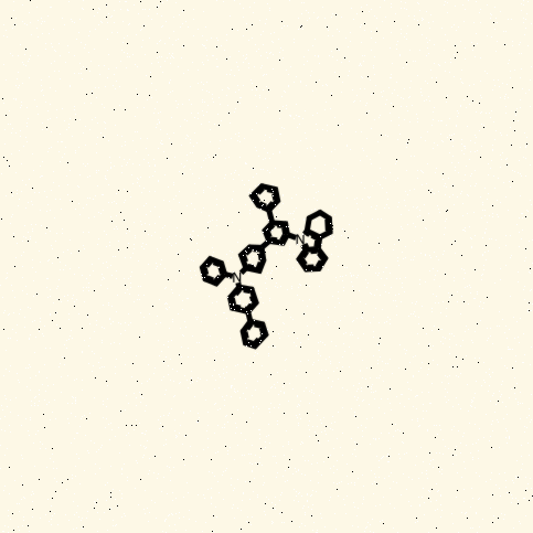 C1=Cc2c(n(-c3cc(-c4ccccc4)cc(-c4ccc(N(c5ccccc5)c5ccc(-c6ccccc6)cc5)cc4)c3)c3ccccc23)CC1